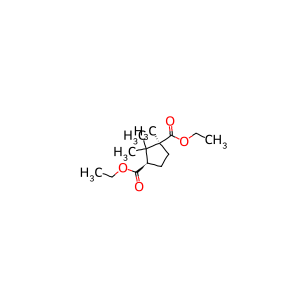 CCOC(=O)[C@@H]1CC[C@](C)(C(=O)OCC)C1(C)C